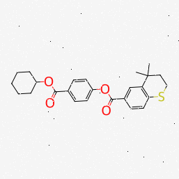 CC1(C)CCSc2ccc(C(=O)Oc3ccc(C(=O)OC4CCCCC4)cc3)cc21